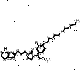 CC(C)(C)CCOCCOCCOCCOc1ccc(C(CC(=O)O)N2CCN(CCCc3ccc4c(n3)NCCC4)C2=O)cc1F